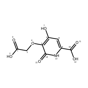 O=C(O)COc1c(O)cc(C(=O)O)[nH]c1=O